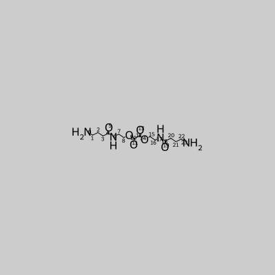 NCCCC(=O)NCCOC(=O)C(=O)OCCNC(=O)CCCN